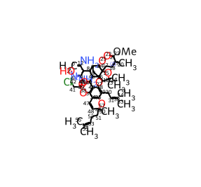 C=C(N)C(/C(N)=N\O)C1C2CC3C(C)(C)OC(C/C=C(/C)C(=O)OC)(C2=O)C32Oc3c(CC=C(C)C)c4c(c(OC(=O)CCl)c3C(=O)C12)C=CC(C)(CCC=C(C)C)O4